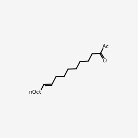 CCCCCCCCC=CCCCCCCCC(=O)C(C)=O